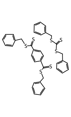 S=C(SCc1ccccc1)SCc1ccccc1.S=C(SCc1ccccc1)c1ccc(C(=S)SCc2ccccc2)cc1